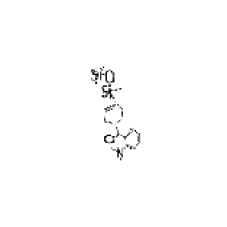 CN(C)c1ccccc1C(=O)c1ccc([Si](C)(C)O[Si](C)(C)C)cc1